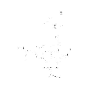 C=C(CNCCC1(C(=N)/N=N\N)c2ccc(C(N)=O)cc2C2C=C(C(N)=O)C=CC21)N1CCCC1C#N